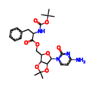 CC(C)(C)OC(=O)NC(Cc1ccccc1)C(=O)OCC1OC(n2ccc(N)nc2=O)C2OC(C)(C)OC12